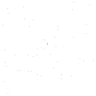 CC(C)c1cnc2c(n1)SN(C(C)C)CC2